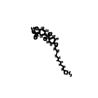 CCCCCCCCCCOc1ccc(S(=O)(=O)c2ccc(O)c([N+](=O)[O-])c2)cc1